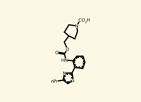 CCCc1csc(-c2ccccc2NC(=O)OCC2CCN(C(=O)O)CC2)n1